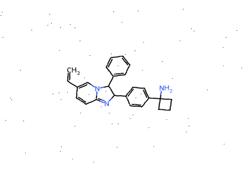 C=CC1=CN2C(=NC(c3ccc(C4(N)CCC4)cc3)C2c2ccccc2)C=C1